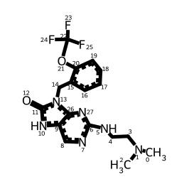 CN(C)CCNc1ncc2[nH]c(=O)n(Cc3ccccc3OC(F)(F)F)c2n1